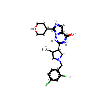 CC1CN(Cc2ccc(F)cc2F)C[C@@H]1c1nn2c(C3CCOCC3)ncc2c(=O)[nH]1